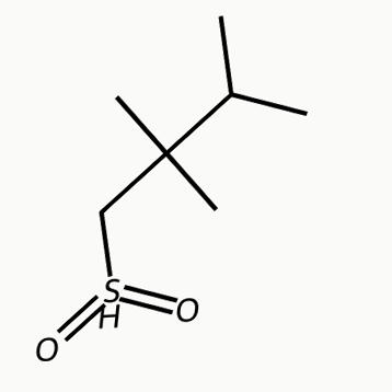 CC(C)C(C)(C)C[SH](=O)=O